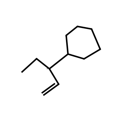 C=C[C](CC)C1CCCCC1